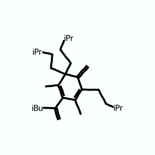 C=C(C1=C(C)C(CCC(C)C)(CCC(C)C)C(=C)C(CCC(C)C)=C1C)C(C)CC